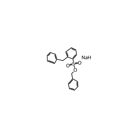 O=S(=O)(OCc1ccccc1)c1ccccc1Cc1ccccc1.[NaH]